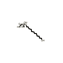 O=P(O)(O)OP(=O)(O)OCCCCCCCCCCCCO